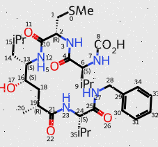 CSC[C@H](NC(=O)[C@@H](NC(=O)O)C(C)C)C(=O)N[C@@H](CC(C)C)[C@@H](O)C[C@@H](C)C(=O)N[C@H](C(=O)NCc1ccccc1)C(C)C